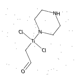 O=C[CH2][Ti]([Cl])([Cl])[N]1CCNCC1